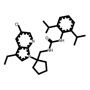 CCc1cn(C2(CNC(=O)Nc3c(C(C)C)cccc3C(C)C)CCCC2)c2ncc(Cl)cc12